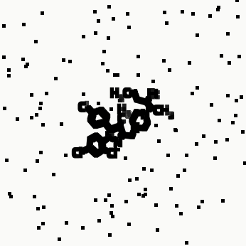 C=CCC(CC)C(C)N1CCN(Cc2nn(-c3ccc(Cl)cc3Cl)c(-c3ccc(Cl)cc3)c2C)CC1